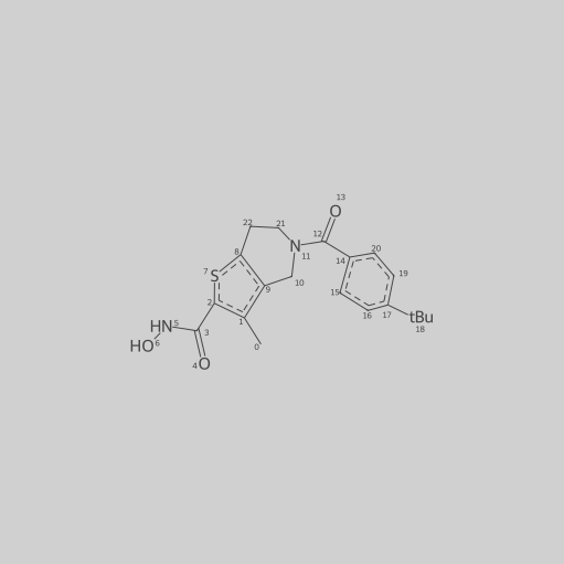 Cc1c(C(=O)NO)sc2c1CN(C(=O)c1ccc(C(C)(C)C)cc1)CC2